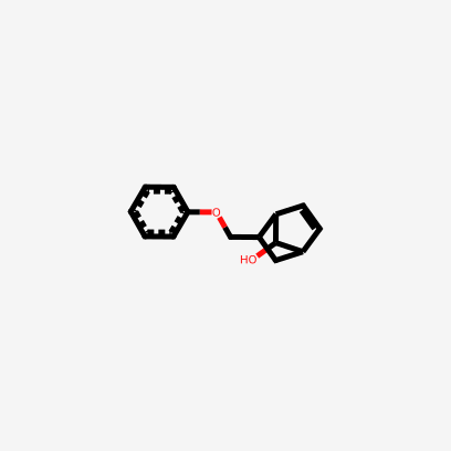 OC1C2C=CC1C(COc1ccccc1)C2